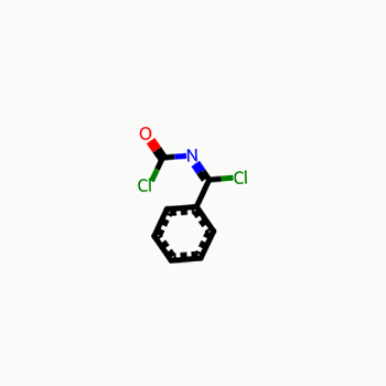 O=C(Cl)/N=C(/Cl)c1ccccc1